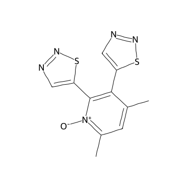 Cc1cc(C)[n+]([O-])c(-c2cnns2)c1-c1cnns1